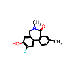 Cc1ccc2c(c1)C(=O)N(C)Cc1cc(O)c(F)cc1-2